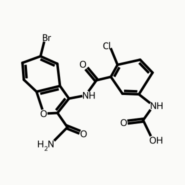 NC(=O)c1oc2ccc(Br)cc2c1NC(=O)c1cc(NC(=O)O)ccc1Cl